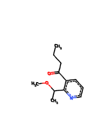 CCCC(=O)c1cccnc1C(C)OC